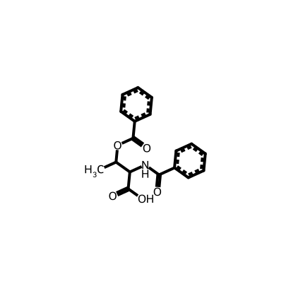 CC(OC(=O)c1ccccc1)C(NC(=O)c1ccccc1)C(=O)O